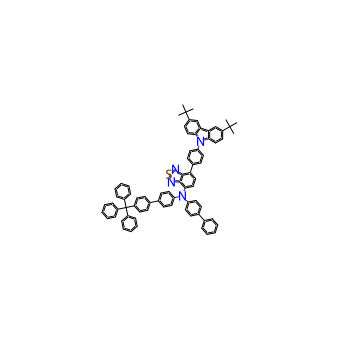 CC(C)(C)c1ccc2c(c1)c1cc(C(C)(C)C)ccc1n2-c1ccc(-c2ccc(N(c3ccc(-c4ccccc4)cc3)c3ccc(-c4ccc(C(c5ccccc5)(c5ccccc5)c5ccccc5)cc4)cc3)c3nsnc23)cc1